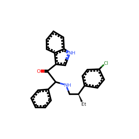 CC[C@@H](CNC(C(=O)c1c[nH]c2ccccc12)c1ccccc1)c1ccc(Cl)cc1